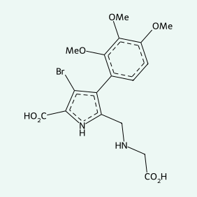 COc1ccc(-c2c(CNCC(=O)O)[nH]c(C(=O)O)c2Br)c(OC)c1OC